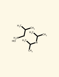 CC(C)[CH2][AlH2].C[CH](C)[Al][CH](C)C.Cl